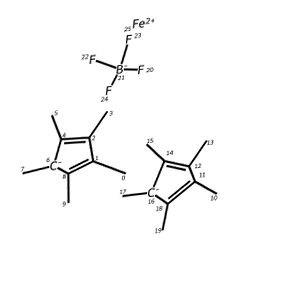 Cc1c(C)c(C)[c-](C)c1C.Cc1c(C)c(C)[c-](C)c1C.F[B-](F)(F)F.[Fe+2]